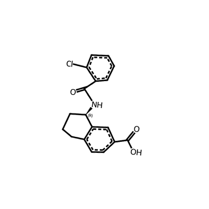 O=C(O)c1ccc2c(c1)[C@H](NC(=O)c1ccccc1Cl)CCC2